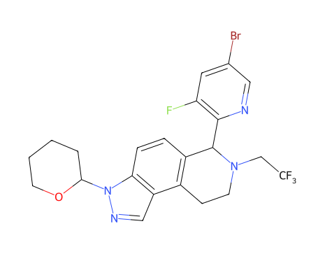 Fc1cc(Br)cnc1C1c2ccc3c(cnn3C3CCCCO3)c2CCN1CC(F)(F)F